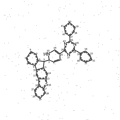 C1=CC(C2c3ccccc3-c3cc4c(cc32)sc2ccccc24)NC=C1c1nc(-c2ccccc2)nc(-c2ccccc2)n1